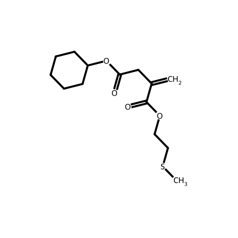 C=C(CC(=O)OC1CCCCC1)C(=O)OCCSC